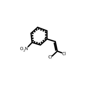 O=[N+]([O-])c1cccc(C=C(Cl)Cl)c1